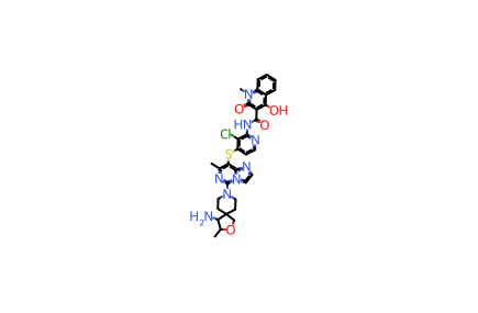 Cc1nc(N2CCC3(CC2)COC(C)C3N)n2ccnc2c1Sc1ccnc(NC(=O)c2c(O)c3ccccc3n(C)c2=O)c1Cl